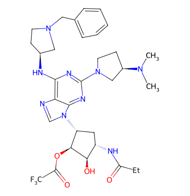 CCC(=O)N[C@H]1C[C@@H](n2cnc3c(N[C@H]4CCN(Cc5ccccc5)C4)nc(N4CC[C@@H](N(C)C)C4)nc32)[C@H](OC(=O)C(F)(F)F)[C@@H]1O